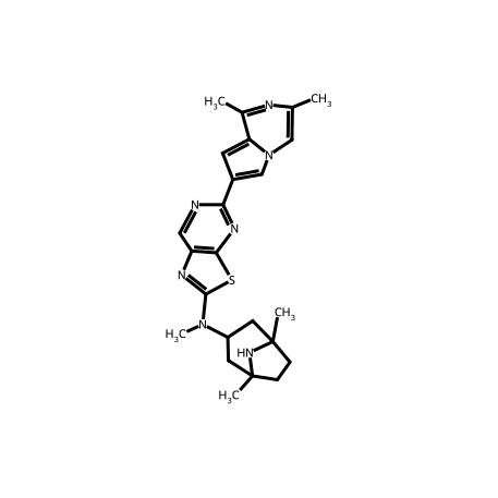 Cc1cn2cc(-c3ncc4nc(N(C)C5CC6(C)CCC(C)(C5)N6)sc4n3)cc2c(C)n1